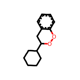 c1ccc2c(c1)CC(C1CCCCC1)OO2